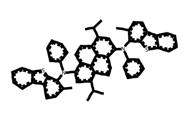 Cc1ccc2c(sc3ccccc32)c1N(c1ccccc1)c1cc(C(C)C)c2ccc3c(N(c4ccccc4)c4c(C)ccc5c4sc4ccccc45)cc(C(C)C)c4ccc1c2c43